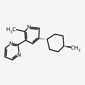 Cc1ncc([C@H]2CC[C@H](C)CC2)cc1-c1ncccn1